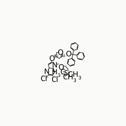 C[Si](C)(C)CCOCn1c(O[C@@H]2CO[C@H](COC(c3ccccc3)(c3ccccc3)c3ccccc3)C2)cc2nc(Cl)c(Cl)cc21